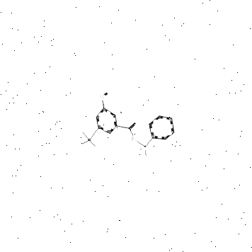 C[C@@H](NC(=O)c1cc(N=O)cc(C(F)(F)F)c1)c1ccccc1